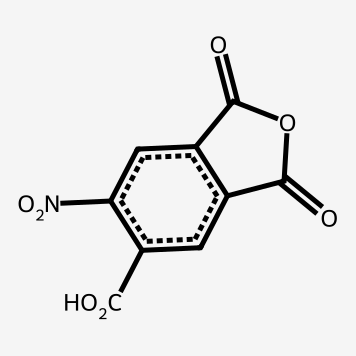 O=C1OC(=O)c2cc([N+](=O)[O-])c(C(=O)O)cc21